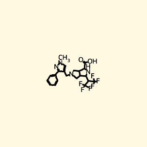 Cn1cc(CN2CC3C(C(=O)O)NC(C(C(F)(F)F)C(F)(F)F)C3C2)c(-c2ccccc2)n1